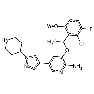 COc1ccc(F)c(Cl)c1C(C)Oc1cc(-c2cnn(C3CCNCC3)c2)cnc1N